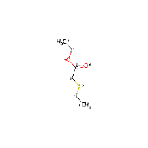 CCOC(=O)CSCC